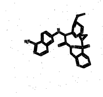 COc1cccc(C(Nc2ccc3c(N)nccc3c2)C(=O)NCc2ccccc2S(=O)(=O)C2CC2)c1